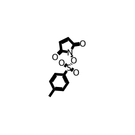 Cc1ccc(S(=O)(=O)ON2C(=O)C=CC2=O)cc1